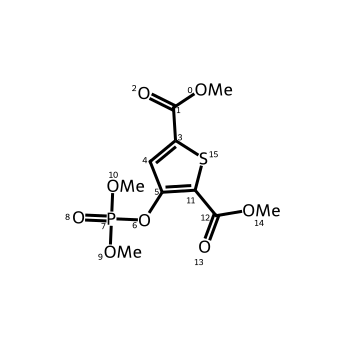 COC(=O)c1cc(OP(=O)(OC)OC)c(C(=O)OC)s1